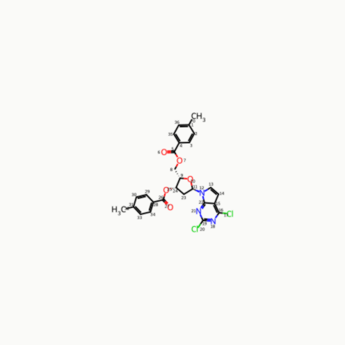 Cc1ccc(C(=O)OC[C@@H]2O[C@@H](n3ccc4c(Cl)nc(Cl)nc43)C[C@@H]2OC(=O)c2ccc(C)cc2)cc1